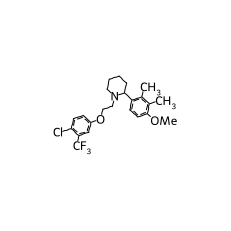 COc1ccc(C2CCCCN2CCOc2ccc(Cl)c(C(F)(F)F)c2)c(C)c1C